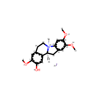 COc1cc2c(cc1O)[C@@H]1Cc3cc(OC)c(OC)cc3[N@+]1(C)CC2.[I-]